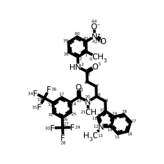 Cc1c(NC(=O)CCC(Cc2cn(C)c3ccccc23)N(C)C(=O)c2cc(C(F)(F)F)cc(C(F)(F)F)c2)cccc1[N+](=O)[O-]